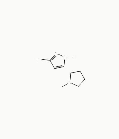 CCCCc1cc([C@@H]2CCCN2C)on1.Cl